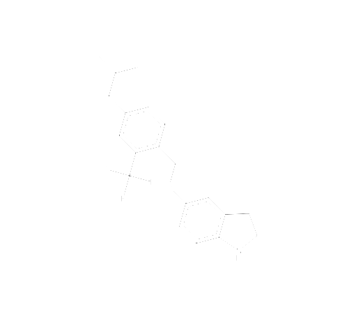 CC(C)Cc1ccc(COc2ccc3c(c2)CCN3)c(C(F)(F)F)c1